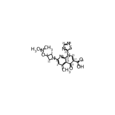 Cc1cc(N2CC(ON(C)C)C2)nc2c1c(=O)c(C(=O)O)cn2-c1ncns1